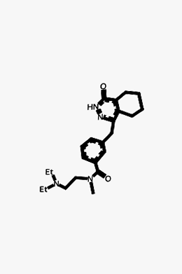 CCN(CC)CCN(C)C(=O)c1cccc(Cc2n[nH]c(=O)c3c2CCCC3)c1